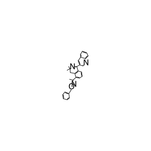 C/C(=N\OCc1ccccc1)c1cccc2c1CC(C)(C)N=C2c1cnc2ccccc2c1